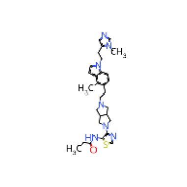 CCC(=O)Nc1scnc1N1CC2CN(CCc3ccc4c(ccn4CCc4cncn4C)c3C)CC2C1